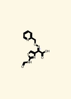 O=CNc1nc(/C(=N\OCc2ccccn2)C(=O)O)cs1